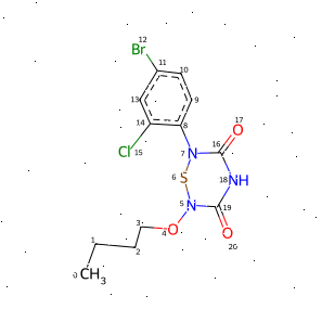 CCCCON1SN(c2ccc(Br)cc2Cl)C(=O)NC1=O